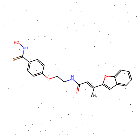 C/C(=C\C(=O)NCCOc1ccc(C(=S)NO)cc1)c1cc2ccccc2o1